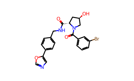 O=C(NCc1ccc(-c2cnco2)cc1)[C@@H]1C[C@@H](O)CN1C(=O)c1cccc(Br)c1